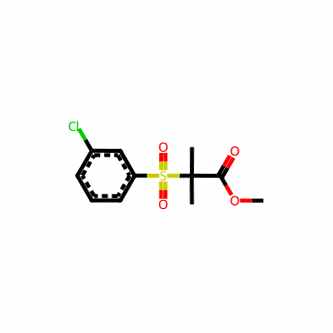 COC(=O)C(C)(C)S(=O)(=O)c1cccc(Cl)c1